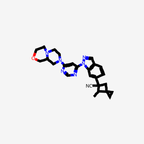 CC1C2(CC2)CC1(C#N)c1ccc2cnn(-c3cc(N4CCN5CCOCC5C4)ncn3)c2c1